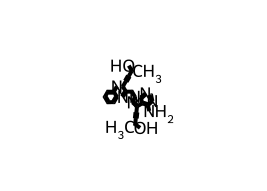 C[C@@H](O)C#Cc1nc2ccccc2nc1Cn1nc(C#C[C@@H](C)O)c2c(N)ncnc21